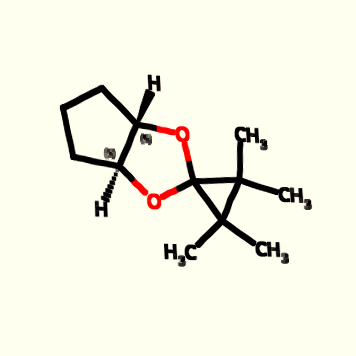 CC1(C)C(C)(C)C12O[C@H]1CCC[C@@H]1O2